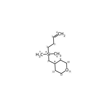 C=CCC[Si](C)(C)CC1CCOCC1